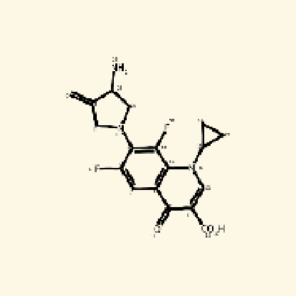 C=C1CN(c2c(F)cc3c(=O)c(C(=O)O)cn(C4CC4)c3c2F)CC1N